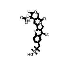 CCc1c2c(nc3ccc(CC(C)(C)[Si](C)(C)O)cc13)-c1cc3c(c(=O)n1C2)COC(=O)C3(CC)OC(=O)Cl